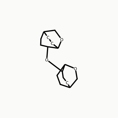 C1CC2OCC1CCC2OC1CCC2CCC1OC2